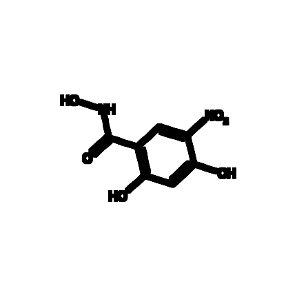 O=C(NO)c1cc([N+](=O)[O-])c(O)cc1O